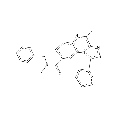 Cc1nc2ccc(C(=O)N(C)Cc3ccccc3)cc2n2c(-c3ccccc3)nnc12